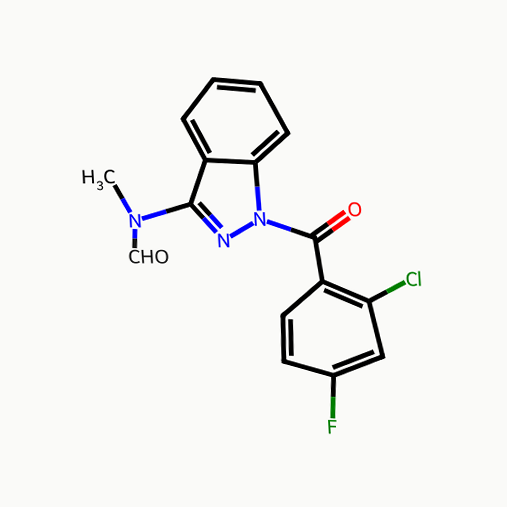 CN(C=O)c1nn(C(=O)c2ccc(F)cc2Cl)c2ccccc12